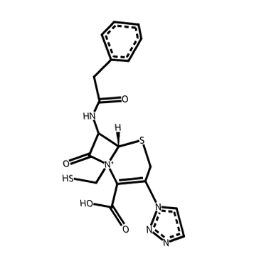 O=C(Cc1ccccc1)NC1C(=O)[N+]2(CS)C(C(=O)O)=C(n3ccnn3)CS[C@@H]12